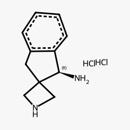 Cl.Cl.N[C@@H]1c2ccccc2CC12CNC2